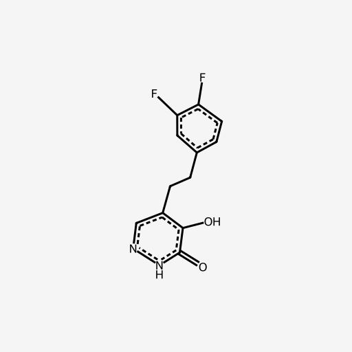 O=c1[nH]ncc(CCc2ccc(F)c(F)c2)c1O